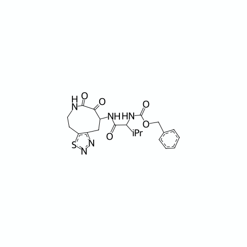 CC(C)C(NC(=O)OCc1ccccc1)C(=O)NC1Cc2nnsc2CCNC(=O)C1=O